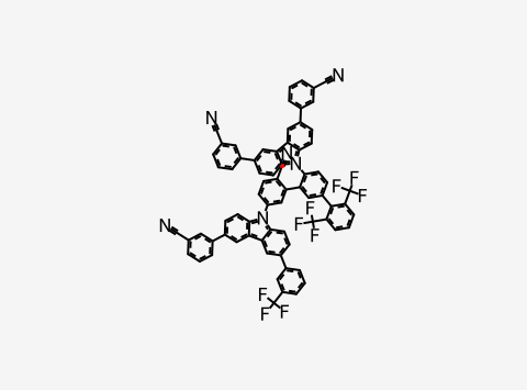 N#Cc1cccc(-c2ccc3c(c2)c2cc(-c4cccc(C(F)(F)F)c4)ccc2n3-c2ccc(C#N)c(-c3cc(-c4c(C(F)(F)F)cccc4C(F)(F)F)ccc3-n3c4ccc(-c5cccc(C#N)c5)cc4c4cc(-c5cccc(C#N)c5)ccc43)c2)c1